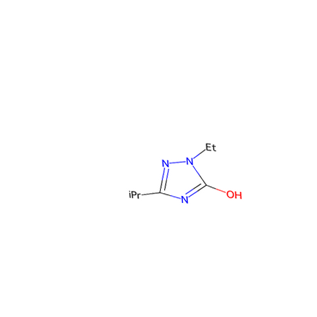 CCn1nc(C(C)C)nc1O